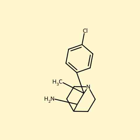 CC1(c2ccc(Cl)cc2)C(N)C2CCN1CC2